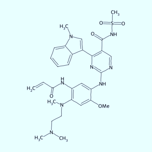 C=CC(=O)Nc1cc(Nc2ncc(C(=O)NS(C)(=O)=O)c(-c3cn(C)c4ccccc34)n2)c(OC)cc1N(C)CCN(C)C